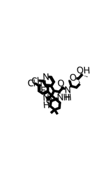 C[C@@H](O)[C@@H]1CC[C@@H](NC(=O)C2NC3(CCC(C)(C)CC3)C3(C(=O)Nc4cc(Cl)ncc43)C2c2ccnc(Cl)c2F)CO1